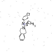 CS/C(=N\c1ccc(Cl)cc1)N1CCc2ccccc2CC1